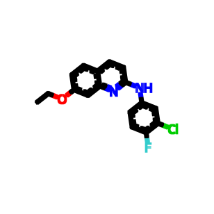 CCOc1ccc2ccc(Nc3ccc(F)c(Cl)c3)nc2c1